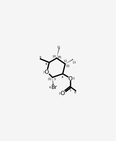 CC(=O)OC1[C@H](Br)OC(C)[C@H](C)[C@@H]1C